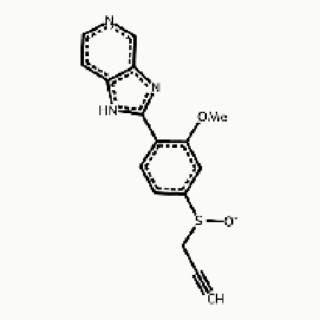 C#CC[S+]([O-])c1ccc(-c2nc3cnccc3[nH]2)c(OC)c1